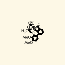 CCCC(=O)OC(C)(C)COc1c(-c2cccc3c2CNC3=O)ccc(OC)c1OC